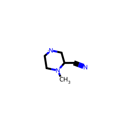 CN1CC[N]CC1C#N